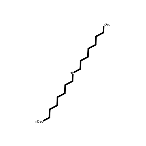 CCCCCCCCCCCCCCCCCPCCCCCCCCCCCCCCCCC